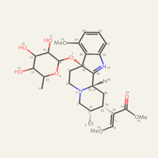 CC[C@@H]1CN2CC[C@@]3(OC4OC(C)C(O)C(O)C4O)C(=Nc4cccc(OC)c43)[C@@H]2C[C@@H]1/C(=C\OC)C(=O)OC